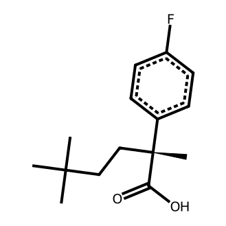 CC(C)(C)CC[C@@](C)(C(=O)O)c1ccc(F)cc1